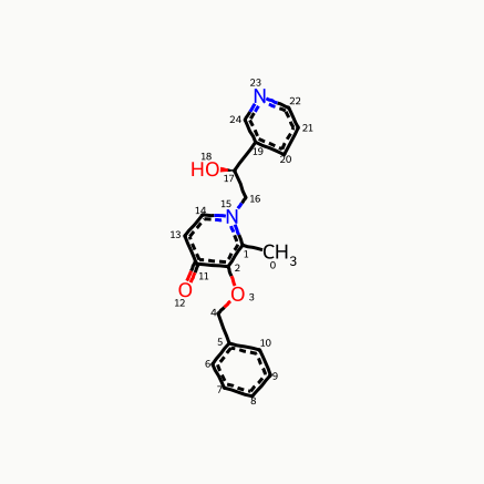 Cc1c(OCc2ccccc2)c(=O)ccn1C[C@@H](O)c1cccnc1